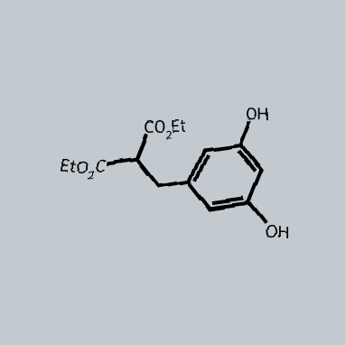 CCOC(=O)C(Cc1cc(O)cc(O)c1)C(=O)OCC